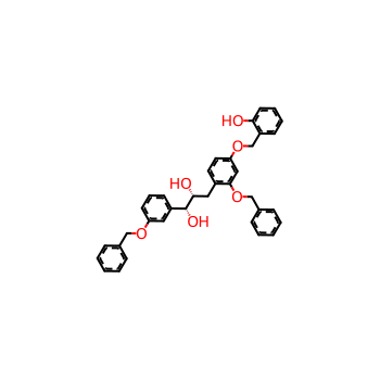 Oc1ccccc1COc1ccc(C[C@@H](O)[C@H](O)c2cccc(OCc3ccccc3)c2)c(OCc2ccccc2)c1